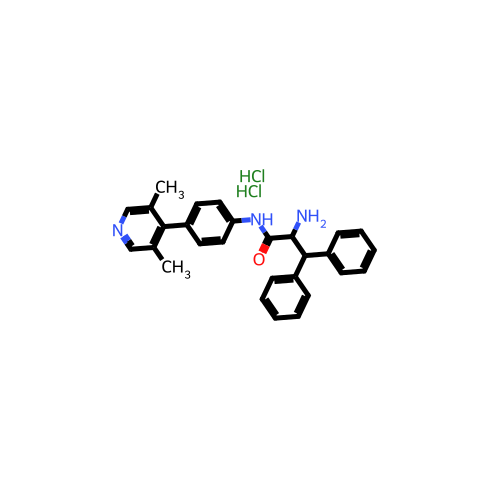 Cc1cncc(C)c1-c1ccc(NC(=O)C(N)C(c2ccccc2)c2ccccc2)cc1.Cl.Cl